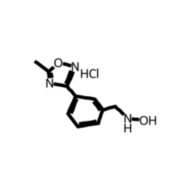 Cc1nc(-c2cccc(CNO)c2)no1.Cl